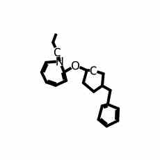 CCCN1C=CC=CC=C1OC1CCC(Cc2ccccc2)CC1